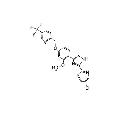 COc1cc(OCc2ccc(C(F)(F)F)cn2)ccc1-c1c[nH]c(-c2ccc(Cl)cn2)n1